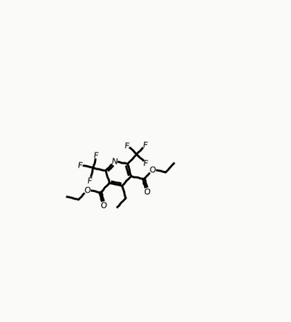 CCOC(=O)c1c(C(F)(F)F)nc(C(F)(F)F)c(C(=O)OCC)c1CC